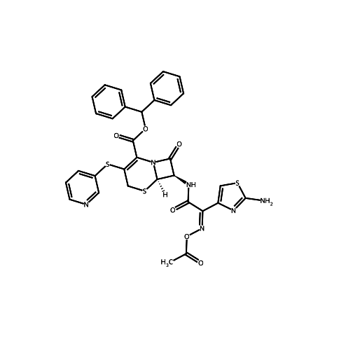 CC(=O)O/N=C(\C(=O)N[C@@H]1C(=O)N2C(C(=O)OC(c3ccccc3)c3ccccc3)=C(Sc3cccnc3)CS[C@H]12)c1csc(N)n1